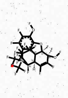 FOc1c(F)c(F)c2c3c1O[C@@]1(F)[C@@](F)(OF)C(F)=C(F)[C@H]4[C@@](F)(C2(F)F)[N+](C(F)(F)F)(C(F)(F)F)C(F)(F)C(F)(F)[C@@]341